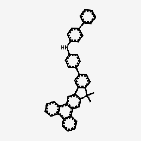 CC1(C)c2ccc(-c3ccc(Nc4ccc(-c5ccccc5)cc4)cc3)cc2-c2cc3c4ccccc4c4ccccc4c3cc21